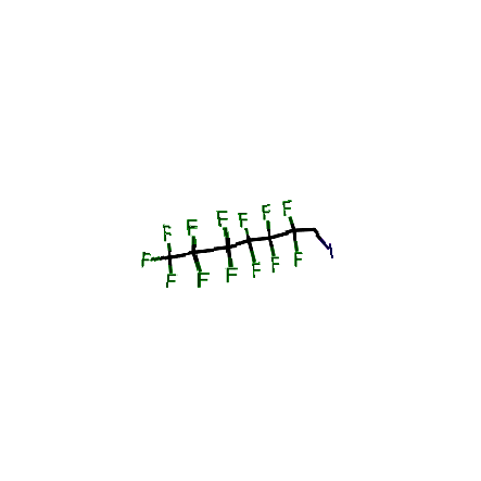 FC(F)(F)C(F)(F)C(F)(F)C(F)(F)C(F)(F)C(F)(F)CI